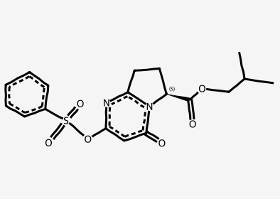 CC(C)COC(=O)[C@@H]1CCc2nc(OS(=O)(=O)c3ccccc3)cc(=O)n21